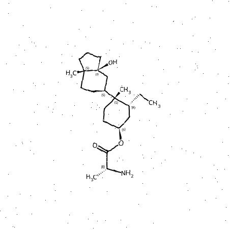 CC[C@@H]1C[C@@H](OC(=O)[C@@H](C)N)CC[C@]1(C)[C@H]1CC[C@]2(C)CCC[C@]2(O)C1